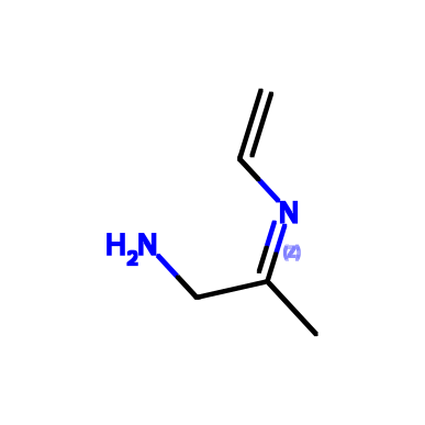 C=C/N=C(/C)CN